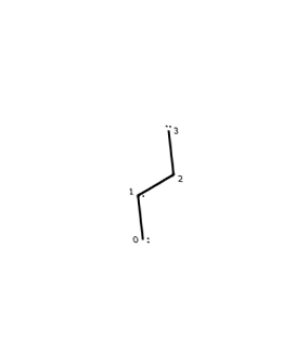 [CH][CH]C[CH]